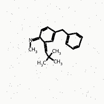 C/N=C1/C=CC(Cc2ccccc2)=C/C1=C\C(C)(C)C